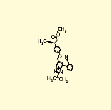 CC#C[C@@H](CC(=O)OCC)c1ccc(OCc2cc(-c3ccccc3C#N)c3nc(C(C)C)nn3c2)cc1